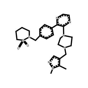 Cc1c(CN2CCN(c3nccnc3-c3ccc(CN4CCCCS4(=O)=O)cc3)CC2)cnn1C